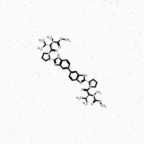 COC(=O)N(C)[C@H](C(=O)N1CCC[C@H]1c1nc2cc(-c3ccc4nc([C@@H]5CCCN5C(=O)[C@H](C(C)C)N(C)C(=O)OC)[nH]c4c3)ccc2[nH]1)C(C)C